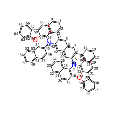 c1ccc(-c2cc3cc(-c4ccccc4)c(N(c4cccc5ccccc45)c4cccc5c4oc4ccccc45)cc3cc2N(c2ccc3ccccc3c2)c2cccc3c2oc2ccccc23)cc1